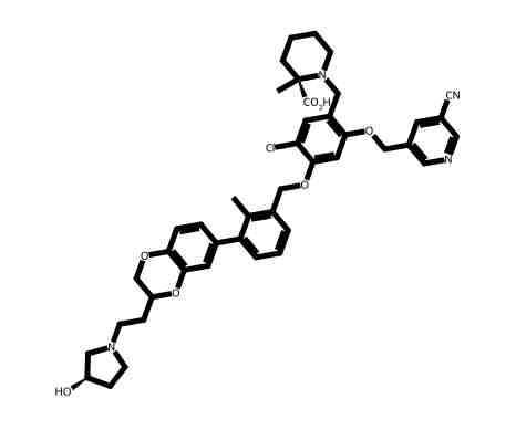 Cc1c(COc2cc(OCc3cncc(C#N)c3)c(CN3CCCC[C@]3(C)C(=O)O)cc2Cl)cccc1-c1ccc2c(c1)OC(CCN1CC[C@@H](O)C1)CO2